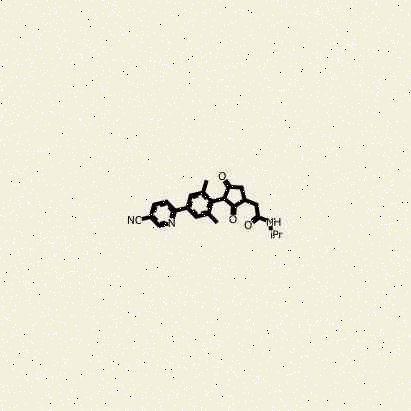 Cc1cc(-c2ccc(C#N)cn2)cc(C)c1C1C(=O)CC(CC(=O)NC(C)C)C1=O